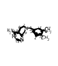 Cc1ccc(CN2CCc3c(N)ncnc3C2)cc1C